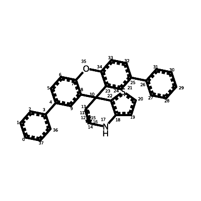 c1ccc(-c2ccc3c(c2)C2(c4ccccc4Nc4ccsc42)c2cc(-c4ccccc4)ccc2O3)cc1